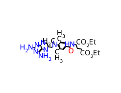 CCOC(=O)CC[C@H](NC(=O)c1cc(C)c(N(C)Cc2cnc3nc(N)nc(N)c3n2)c(C)c1)C(=O)OCC